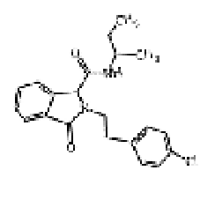 CCC(C)NC(=O)C1c2ccccc2C(=O)N1CCc1ccc(Cl)cc1